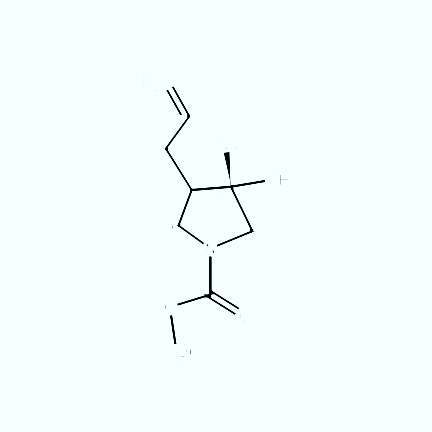 C=CCC1CN(C(=O)OC(C)(C)C)C[C@]1(O)C(Cl)(Cl)Cl